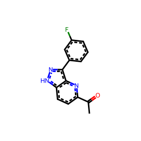 CC(=O)c1ccc2[nH]nc(-c3cccc(F)c3)c2n1